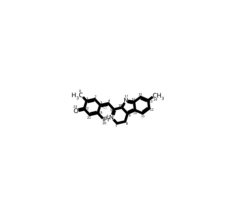 CC1=C/C(=C/C2=NCCC3=c4ccc(C)cc4=NC23)C(C(C)C)=CC1=O